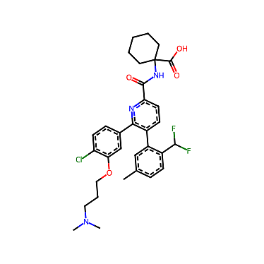 Cc1ccc(C(F)F)c(-c2ccc(C(=O)NC3(C(=O)O)CCCCC3)nc2-c2ccc(Cl)c(OCCCN(C)C)c2)c1